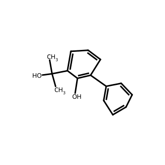 CC(C)(O)c1cccc(-c2ccccc2)c1O